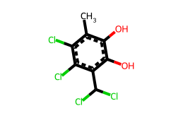 Cc1c(O)c(O)c(C(Cl)Cl)c(Cl)c1Cl